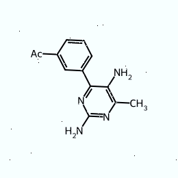 CC(=O)c1cccc(-c2nc(N)nc(C)c2N)c1